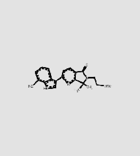 COCCN1C(=O)c2ccc(-c3c[nH]c4c(C#N)cccc34)nc2C1(C)C